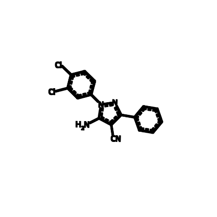 N#Cc1c(-c2ccccc2)nn(-c2ccc(Cl)c(Cl)c2)c1N